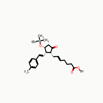 CC(C)OC(=O)CCCC=CC[C@H]1C(=O)C[C@@H](O[Si](C)(C)C(C)(C)C)[C@H]1C=Cc1ccc(C(F)(F)F)cc1